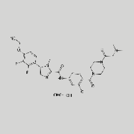 CN(C)CC(=O)N1CCN(C(=O)c2ccc(NC(=O)c3ncc(-c4ccc(OCC#N)c(F)c4F)n3C)cc2Cl)CC1.O=CO